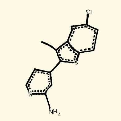 Cc1c(-c2ccnc(N)c2)sc2ccc(Cl)cc12